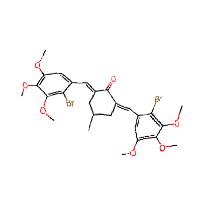 COc1cc(C=C2CC(C)CC(=Cc3cc(OC)c(OC)c(OC)c3Br)C2=O)c(Br)c(OC)c1OC